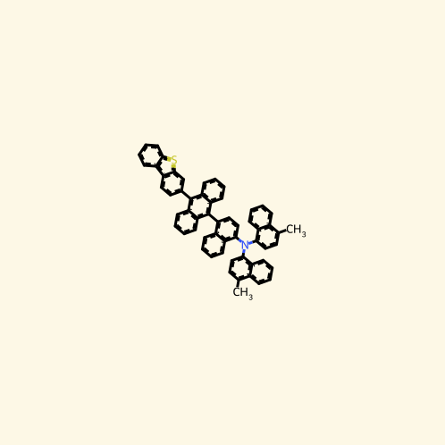 Cc1ccc(N(c2ccc(C)c3ccccc23)c2ccc(-c3c4ccccc4c(-c4ccc5c(c4)sc4ccccc45)c4ccccc34)c3ccccc23)c2ccccc12